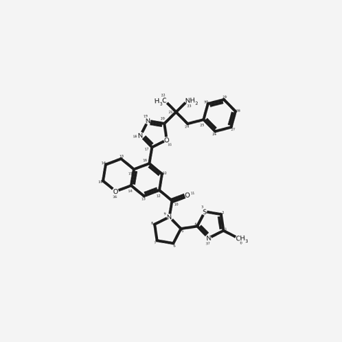 Cc1csc(C2CCCN2C(=O)c2cc3c(c(-c4nnc(C(C)(N)Cc5ccccc5)o4)c2)CCCO3)n1